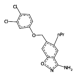 CCCc1cc2c(N)noc2cc1COc1ccc(Cl)c(Cl)c1